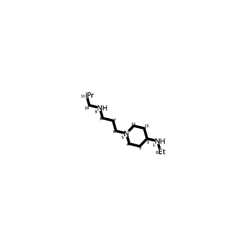 CCNC1CCN(CCCNCC(C)C)CC1